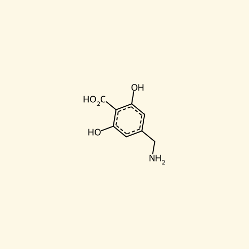 NCc1cc(O)c(C(=O)O)c(O)c1